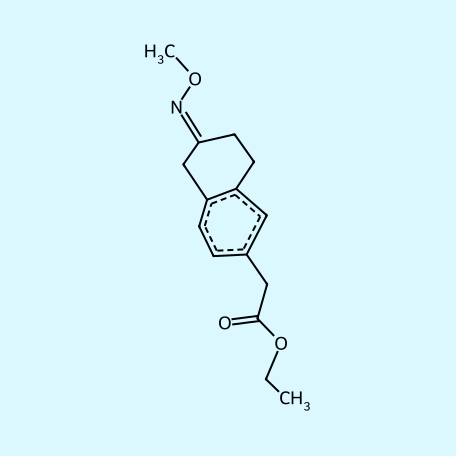 CCOC(=O)Cc1ccc2c(c1)CCC(=NOC)C2